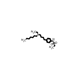 CCCCCCCN(CC)CCCCc1ccc(NS(=O)(=O)CC)cc1